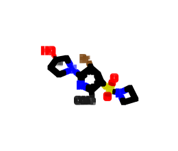 COc1nc(N2CC[C@H](O)C2)c(Br)cc1S(=O)(=O)N1CCC1